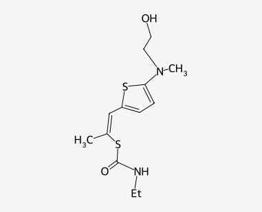 CCNC(=O)S/C(C)=C\c1ccc(N(C)CCO)s1